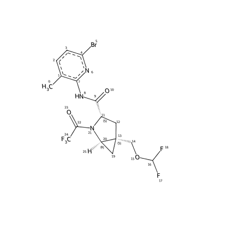 Cc1ccc(Br)nc1NC(=O)[C@@H]1C[C@@]2(COC(F)F)C[C@H]2N1C(=O)C(F)(F)F